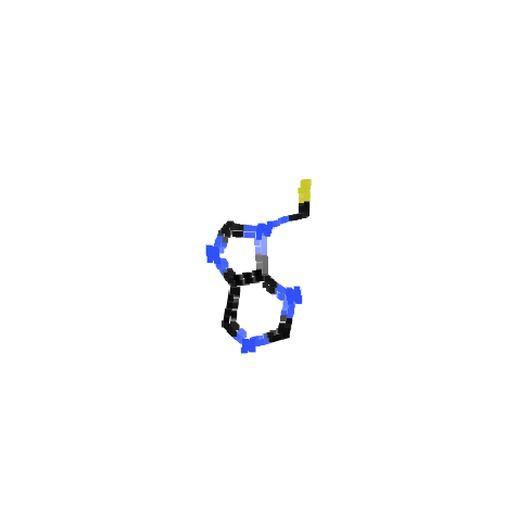 S=Cn1cnc2cncnc21